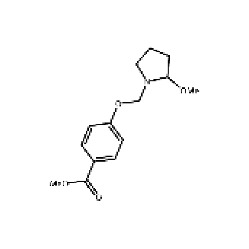 COC(=O)c1ccc(OCN2CCCC2OC)cc1